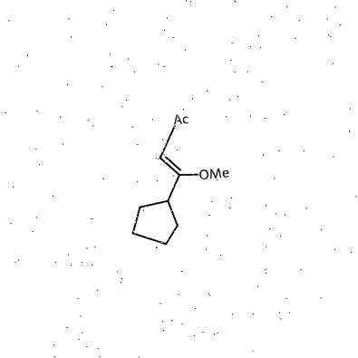 CO/C(=C\C(C)=O)C1CCCC1